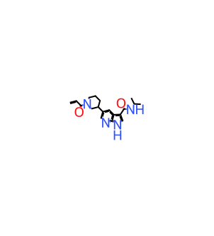 C=CC(=O)N1CCCC(c2cnc3[nH]cc(C(=O)NC(C)C)c3c2)C1